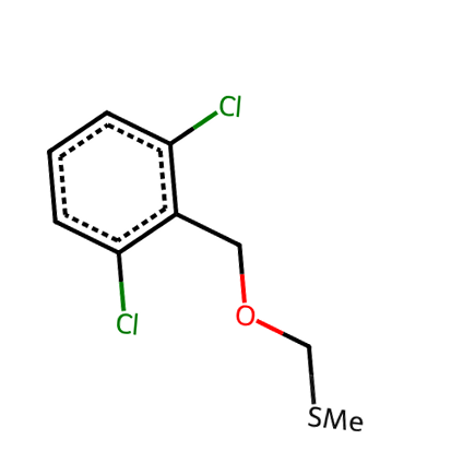 CSCOCc1c(Cl)cccc1Cl